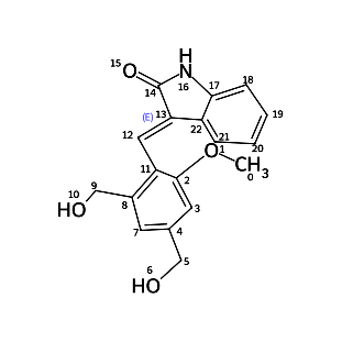 COc1cc(CO)cc(CO)c1/C=C1/C(=O)Nc2ccccc21